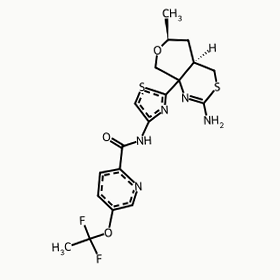 C[C@H]1C[C@H]2CSC(N)=NC2(c2nc(NC(=O)c3ccc(OC(C)(F)F)cn3)cs2)CO1